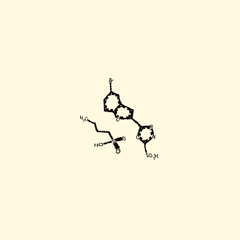 CCCCS(=O)(=O)O.O=S(=O)(O)c1nnc(-c2cc3cc(Br)ccc3o2)o1